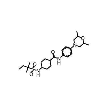 CCC(C)(C)S(=O)(=O)NC1CCC(C(=O)Nc2ccc(N3CC(C)OC(C)C3)cc2)CC1